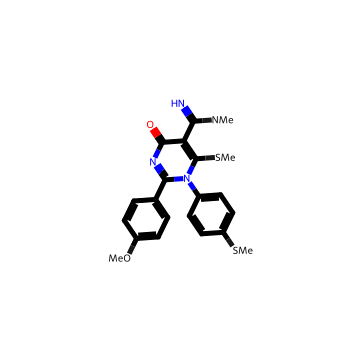 CNC(=N)c1c(SC)n(-c2ccc(SC)cc2)c(-c2ccc(OC)cc2)nc1=O